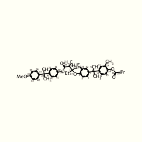 CCC(C)(Oc1ccc(C(C)(C)c2ccc(OC(=O)C(C)C)c(C)c2)cc1C)C(C)C(=O)Oc1ccc(C(C)(C)c2ccc(OC)cc2)cc1